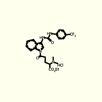 CCOC(=O)C(CCC(=O)n1cc(NC(=O)Nc2ccc(C(F)(F)F)cc2)c2ccccc21)N(C)C.Cl